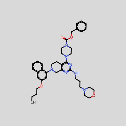 CCCCOc1cc(N2CCc3c(nc(NCCCN4CCOCC4)nc3N3CCN(C(=O)OCc4ccccc4)CC3)C2)c2ccccc2c1